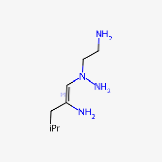 CC(C)C/C(N)=C/N(N)CCN